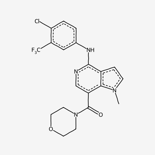 Cn1ccc2c(Nc3ccc(Cl)c(C(F)(F)F)c3)ncc(C(=O)N3CCOCC3)c21